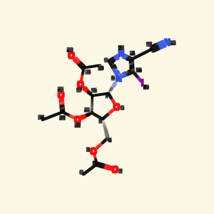 CC(=O)OC[C@H]1O[C@@H](n2cnc(C#N)c2I)[C@H](OC(C)=O)[C@@H]1OC(C)=O